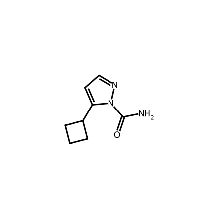 NC(=O)n1nccc1C1CCC1